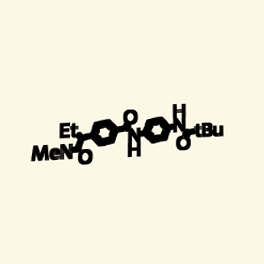 CCC(C(=O)NC)c1ccc(C(=O)Nc2ccc(NC(=O)C(C)(C)C)cc2)cc1